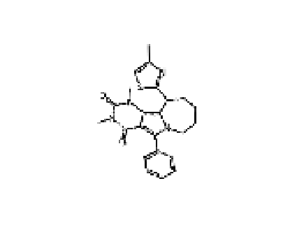 Cc1csc(C2CCCCn3c(-c4ccccc4)c4c(=O)n(C)c(=O)n(C)c4c32)n1